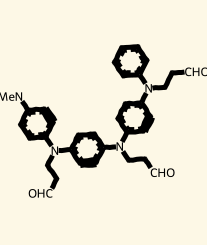 CNc1c#cc(N(CCC=O)c2c#cc(N(CCC=O)c3c#cc(N(CCC=O)c4ccccc4)cc3)cc2)cc1